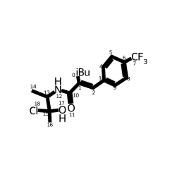 CCC(C)/C(=C\c1ccc(C(F)(F)F)cc1)C(=O)NC(C)C(C)(O)Cl